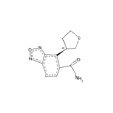 NC(=O)c1ccc2nonc2c1[C@H]1CCOC1